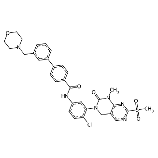 CN1C(=O)N(c2cc(NC(=O)c3ccc(-c4cccc(CN5CCOCC5)c4)cc3)ccc2Cl)Cc2cnc(S(C)(=O)=O)nc21